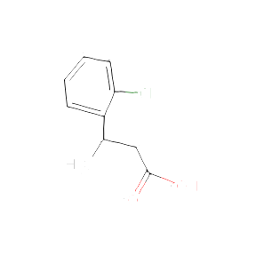 CC(CC(=O)O)c1ccccc1Cl